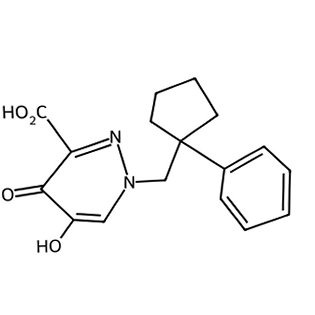 O=C(O)c1nn(CC2(c3ccccc3)CCCC2)cc(O)c1=O